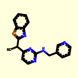 N#CC(c1ccnc(NCc2cccnc2)n1)c1nc2ccccc2s1